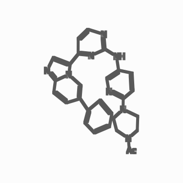 CC(=O)N1CCN(c2ccc(Nc3nccc(-c4cnc5ccc(-c6ccccc6)cn45)n3)cn2)CC1